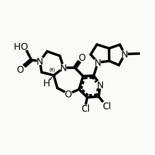 CN1CC2CCN(c3nc(Cl)c(Cl)c4c3C(=O)N3CCN(C(=O)O)C[C@@H]3CO4)C2C1